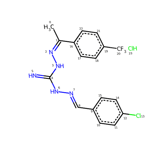 CC(=NNC(=N)NN=Cc1ccc(Cl)cc1)c1ccc(C(F)(F)F)cc1.Cl